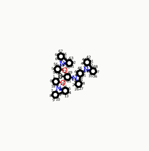 c1cc2c(c(-n3c4ccccc4c4ccccc43)c1)Oc1cc(-n3c4ccccc4c4cc(-n5c6ccccc6c6ccccc65)ccc43)cc3c1B2c1cccc(-n2c4ccccc4c4ccccc42)c1O3